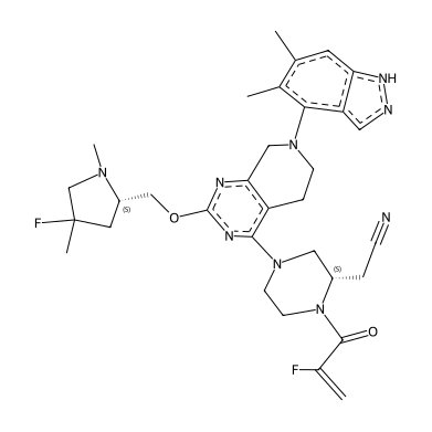 C=C(F)C(=O)N1CCN(c2nc(OC[C@@H]3CC(C)(F)CN3C)nc3c2CCN(c2c(C)c(C)cc4[nH]ncc24)C3)C[C@@H]1CC#N